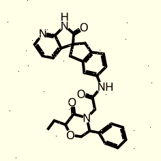 CCC1OCC(c2ccccc2)N(CC(=O)Nc2ccc3c(c2)CC2(C3)C(=O)Nc3ncccc32)C1=O